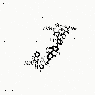 COC[C@H]1C[C@@H](c2ncc(-c3cc4c5c(c3)OCc3cc(-c6cnc([C@@H]7C[C@H](C)CN7C(=O)C(NC(=O)OC)c7ccccc7)[nH]6)cc(c3-5)OC4)[nH]2)N(C(=O)[C@@H](NC(=O)OC)[C@@H](C)OC)C1